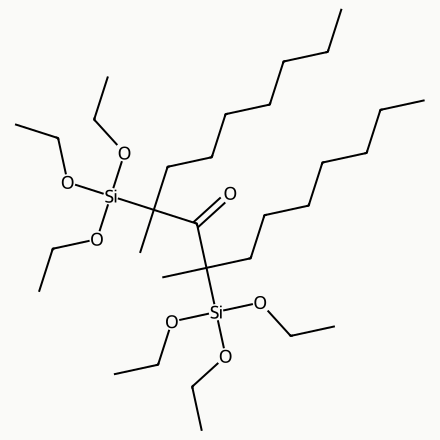 CCCCCCCC(C)(C(=O)C(C)(CCCCCCC)[Si](OCC)(OCC)OCC)[Si](OCC)(OCC)OCC